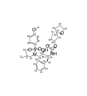 COc1ccc(S(=O)(=O)N(CC(C)C)C[C@@H](O)[C@H](Cc2ccccc2)NC(=O)OC2CC[C@@]3(CCCO3)C2)cc1